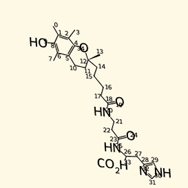 Cc1c(C)c2c(c(C)c1O)CC[C@@](C)(CCCCC(=O)NCCC(=O)NC(Cc1c[nH]cn1)C(=O)O)O2